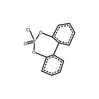 O=P1(Cl)Oc2ccccc2-c2ccccc2O1